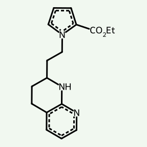 CCOC(=O)c1cccn1CCC1CCc2cccnc2N1